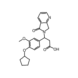 COc1cc(C(CC(=O)O)N2Cc3ncccc3C2=O)ccc1OC1CCCC1